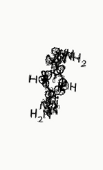 CC1C2COP(O)(=S)OC3C(COP(O)(=S)OC1C(n1cnc4c(=O)[nH]c(N)nc41)O2)OC(n1cnc2c(N)ncnc21)C3F